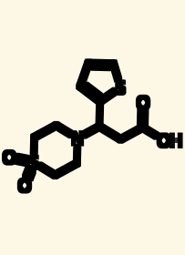 O=C(O)CC(c1cccs1)N1CCS(=O)(=O)CC1